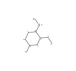 CCC1CC(C)CCC1SC